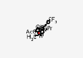 C=CCN1CC[C@]23c4c5c(OC(C)=O)cc(O)c4O[C@H]2[C@@H](N(CC(C)C)C(=O)C#Cc2ccc(C(F)(F)F)cc2)CC[C@H]3[C@H]1C5